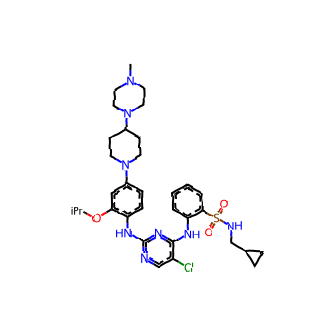 CC(C)Oc1cc(N2CCC(N3CCN(C)CC3)CC2)ccc1Nc1ncc(Cl)c(Nc2ccccc2S(=O)(=O)NCC2CC2)n1